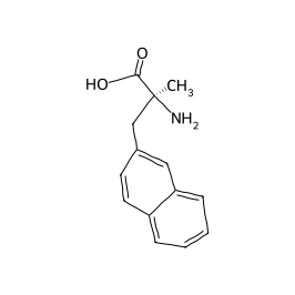 C[C@](N)(Cc1ccc2ccccc2c1)C(=O)O